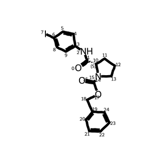 O=C(Nc1ccc(I)cc1)[C@@H]1CCCN1C(=O)OCc1ccccc1